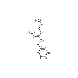 OCCC[C@H](CO)OCc1ccccc1